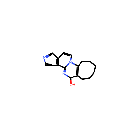 OC1N=C2c3ccncc3C=CN2C2=C1CCCCCC2